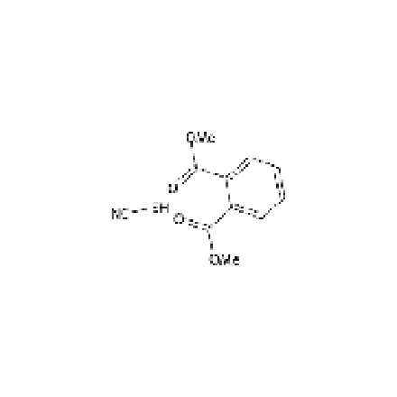 COC(=O)c1ccccc1C(=O)OC.N#CS